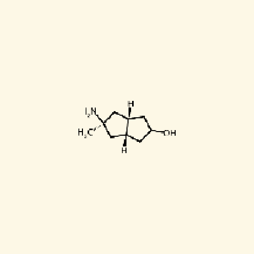 C[C@@]1(N)C[C@H]2CC(O)C[C@H]2C1